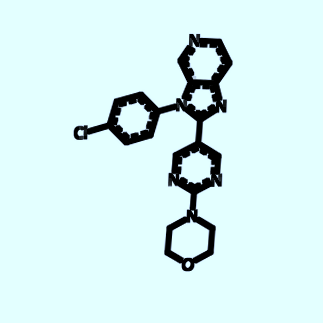 Clc1ccc(-n2c(-c3cnc(N4CCOCC4)nc3)nc3ccncc32)cc1